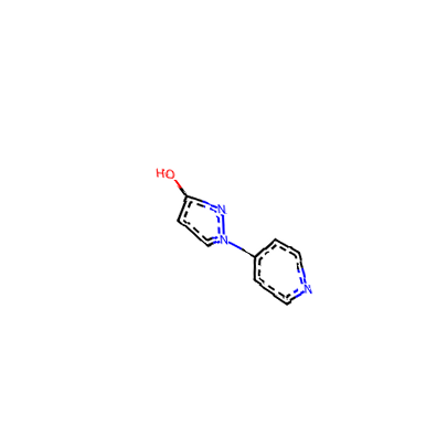 Oc1ccn(-c2ccncc2)n1